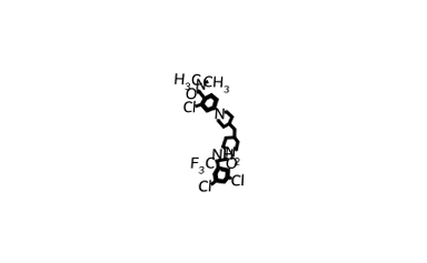 CN(C)C(=O)c1ccc(N2CCC(CC3CCN(C(=O)C(N)(c4cc(Cl)cc(Cl)c4)C(F)(F)F)CC3)CC2)cc1Cl